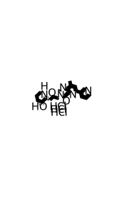 Cc1cc(-c2cccnc2)nc2c(=O)n(CC(=O)C[C@H]3NCCC[C@@H]3O)cnc12.Cl.Cl.Cl